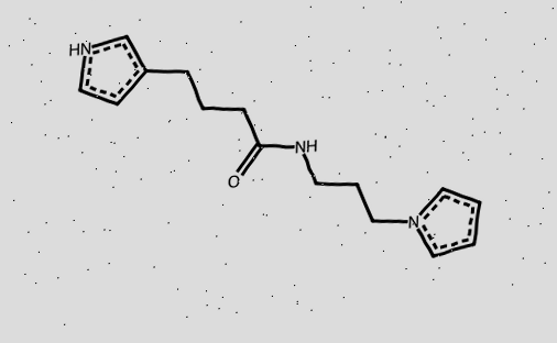 O=C(CCCc1cc[nH]c1)NCCCn1cccc1